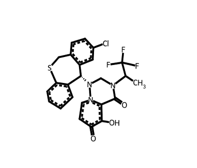 CC(N1CN([C@H]2c3cc(Cl)ccc3CSc3ccccc32)n2ccc(=O)c(O)c2C1=O)C(F)(F)F